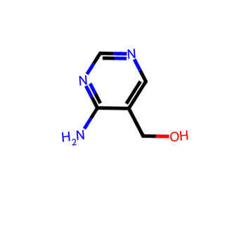 Nc1ncncc1CO